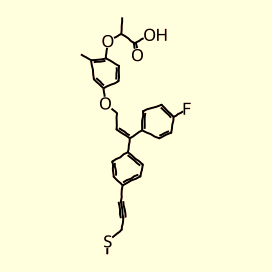 CSCC#Cc1ccc(/C(=C/COc2ccc(OC(C)C(=O)O)c(C)c2)c2ccc(F)cc2)cc1